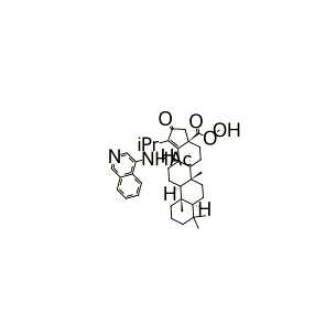 CC(=O)Nc1cncc2ccccc12.CC(C)C1=C2[C@H]3CC[C@@H]4[C@@]5(C)CCCC(C)(C)[C@@H]5CC[C@@]4(C)[C@]3(C)CC[C@@]2(C(=O)OO)CC1=O